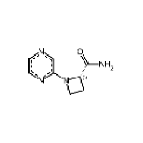 NC(=O)[C@@H]1CCN1c1cnccn1